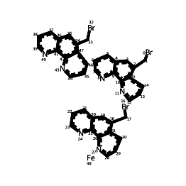 BrCc1cc2cccnc2c2ncccc12.BrCc1cc2cccnc2c2ncccc12.BrCc1cc2cccnc2c2ncccc12.[Fe]